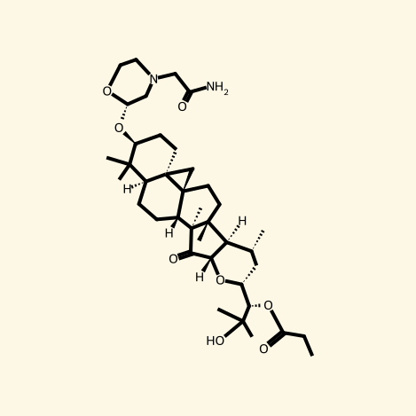 CCC(=O)O[C@@H]([C@H]1C[C@@H](C)[C@H]2[C@H](O1)C(=O)[C@@]1(C)[C@@H]3CC[C@H]4C(C)(C)[C@@H](O[C@H]5CN(CC(N)=O)CCO5)CC[C@@]45C[C@@]35CC[C@]21C)C(C)(C)O